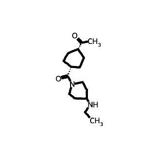 CCNC1CCN(C(=O)[C@H]2CC[C@@H](C(C)=O)CC2)CC1